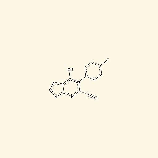 C#Cc1nc2nccc-2c(O)n1-c1ccc(F)cc1